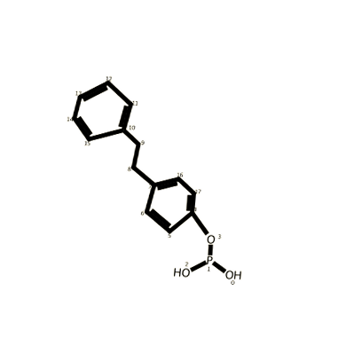 OP(O)Oc1ccc(CCc2ccccc2)cc1